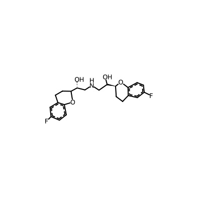 OC(CNC[C@@H](O)C1CCc2cc(F)ccc2O1)[C@@H]1CCc2cc(F)ccc2O1